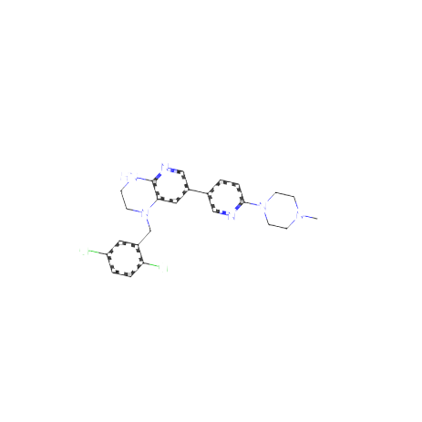 CN1CCN(c2ccc(-c3cnc4c(c3)N(Cc3cc(Cl)ccc3Cl)CCN4)cn2)CC1